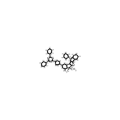 CC1(C)c2ccc(-c3ccc(-c4nc(-c5ccccc5)nc(-c5ccccc5)n4)cc3)cc2-c2c1oc1c3ccccc3n(-c3ccccc3)c21